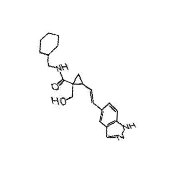 O=C(NCC1CCCCC1)C1(CO)CC1C=Cc1ccc2[nH]ncc2c1